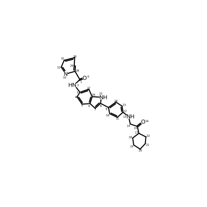 O=C(Nc1ccc2cc(-c3ccc(NCC(=O)C4CCCCC4)cc3)[nH]c2c1)c1ccccn1